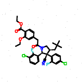 CCOC(=O)c1ccc(CC(=O)N2C[C@@H](CC(C)(C)C)[C@](C#N)(c3ccc(Cl)cc3F)[C@H]2c2cccc(Cl)c2F)cc1OCC